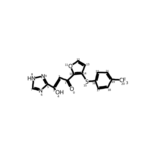 O=C(C=C(O)c1nc[nH]n1)c1occc1Sc1ccc(C(F)(F)F)cc1